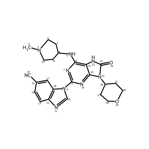 CN1CCC(Nc2nc(-n3cnc4ccc(C#N)cc43)nc3c2[nH]c(=O)n3C2CCOCC2)CC1